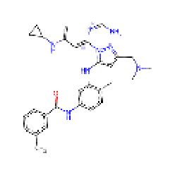 C=C(/C=C(\N=C/N)n1nc(CN(C)C)cc1Nc1cc(NC(=O)c2cccc(C(F)(F)F)c2)ccc1C)NC1CC1